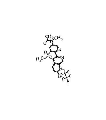 CCS(=O)(=O)c1cc(N(C)C(C)=O)cnc1-c1cc2ccc(=O)n(CC(F)(F)C(F)(F)F)c2cn1